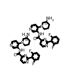 N[C@H]1CCCN(c2ccncc2NC(=O)c2ccnc(-c3c(F)cccc3F)n2)C1.N[C@H]1CCCN(c2ccncc2NC(=O)c2ccnc(-c3c(F)cccc3F)n2)C1